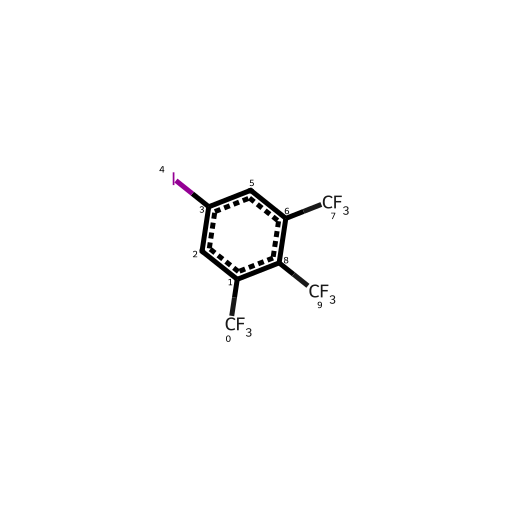 FC(F)(F)c1cc(I)cc(C(F)(F)F)c1C(F)(F)F